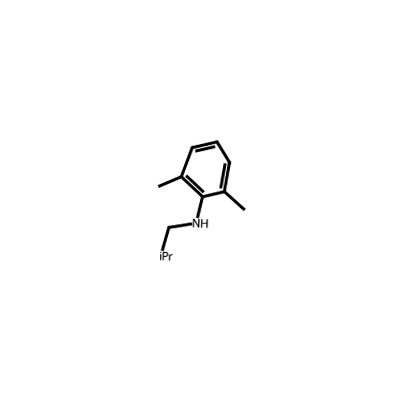 Cc1cccc(C)c1NCC(C)C